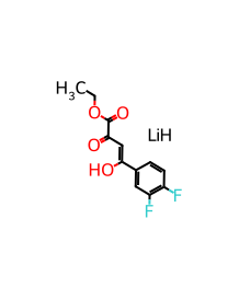 CCOC(=O)C(=O)C=C(O)c1ccc(F)c(F)c1.[LiH]